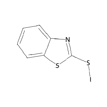 ISc1nc2ccccc2s1